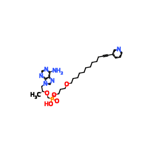 C[C@H](Cn1cnc2c(N)ncnc21)OCP(=O)(O)OCCCOCCCCCCCCCCC#Cc1cccnc1